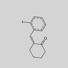 O=C1CCCC/C1=C/c1ccccc1I